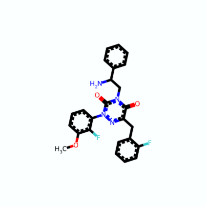 COc1cccc(-n2nc(Cc3ccccc3F)c(=O)n(CC(N)c3ccccc3)c2=O)c1F